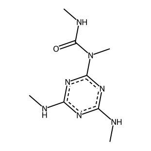 CNC(=O)N(C)c1nc(NC)nc(NC)n1